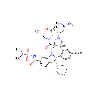 COc1ccc2c(c1)[C@H]1CN(C(C)CN(C)C)C[C@@]1(C(=O)N1C[C@@H](C)O[C@@H](C)C1)Cn1c-2c(C2CCCCC2)c2ccc(C(=O)NS(=O)(=O)N(C)C)cc21